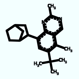 Cc1ncc2c(C)c(C(C)(C)C)cc(C3CC4CCC3C4)c2n1